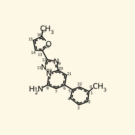 Cc1cccc(-c2cc(N)n3nc(-c4ccc(C)o4)nc3c2)c1